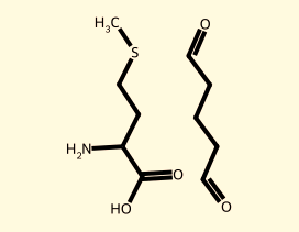 CSCCC(N)C(=O)O.O=CCCCC=O